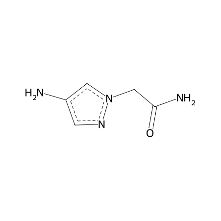 NC(=O)Cn1cc(N)cn1